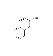 CCC[CH]c1ncc2ccccc2n1